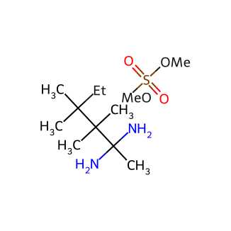 CCC(C)(C)C(C)(C)C(C)(N)N.COS(=O)(=O)OC